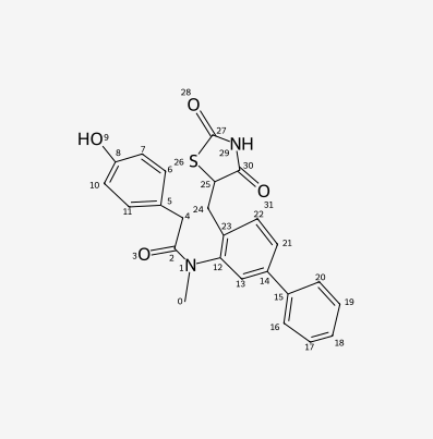 CN(C(=O)Cc1ccc(O)cc1)c1cc(-c2ccccc2)ccc1CC1SC(=O)NC1=O